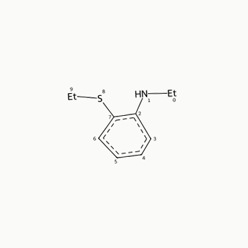 CCNc1ccccc1SCC